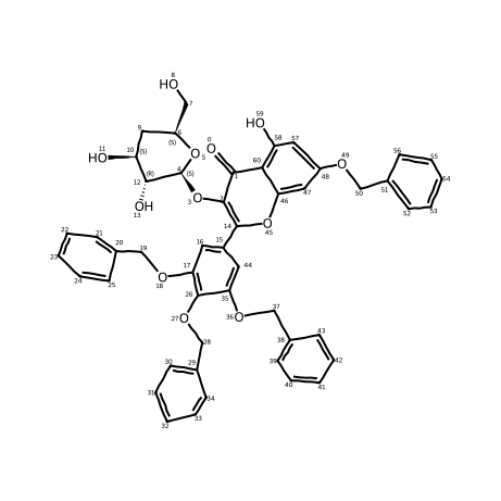 O=c1c(O[C@@H]2O[C@H](CO)C[C@H](O)[C@H]2O)c(-c2cc(OCc3ccccc3)c(OCc3ccccc3)c(OCc3ccccc3)c2)oc2cc(OCc3ccccc3)cc(O)c12